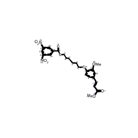 COC(=O)/C=C/c1ccc(OCCCCCCOC(=O)c2cc([N+](=O)[O-])cc([N+](=O)[O-])c2)c(OC)c1